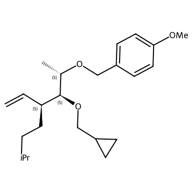 C=C[C@H](CCC(C)C)[C@H](OCC1CC1)[C@H](C)OCc1ccc(OC)cc1